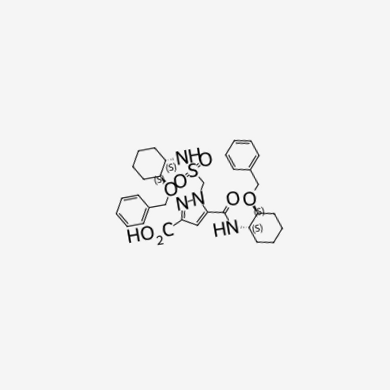 O=C(O)c1cc(C(=O)N[C@H]2CCCC[C@@H]2OCc2ccccc2)n(CS(=O)(=O)N[C@H]2CCCC[C@@H]2OCc2ccccc2)n1